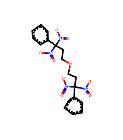 O=[N+]([O-])C(CCOCCC(c1ccccc1)([N+](=O)[O-])[N+](=O)[O-])(c1ccccc1)[N+](=O)[O-]